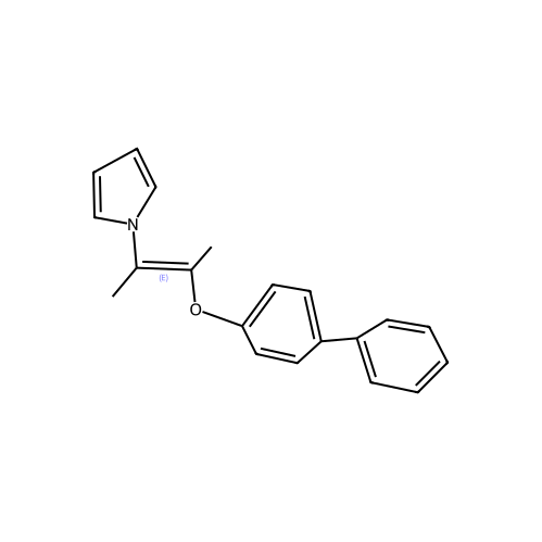 C/C(Oc1ccc(-c2ccccc2)cc1)=C(/C)n1cccc1